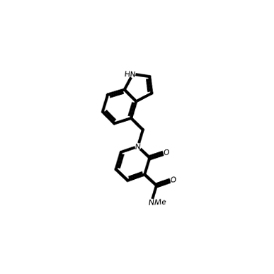 CNC(=O)c1cccn(Cc2cccc3[nH]ccc23)c1=O